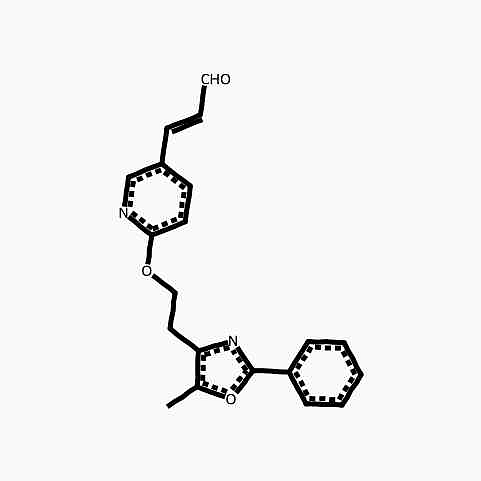 Cc1oc(-c2ccccc2)nc1CCOc1ccc(C=CC=O)cn1